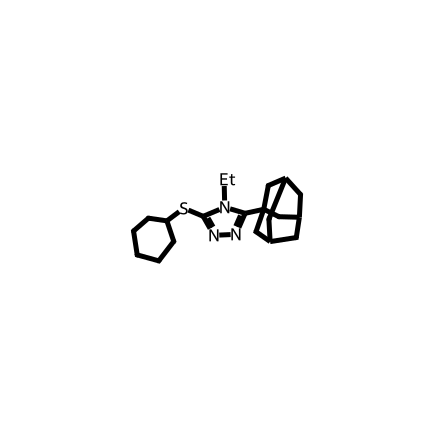 CCn1c(SC2CCCCC2)nnc1C12CC3CC(CC(C3)C1)C2